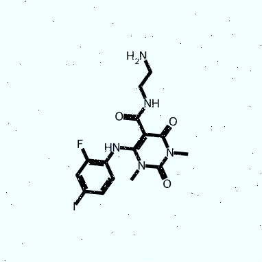 Cn1c(Nc2ccc(I)cc2F)c(C(=O)NCCN)c(=O)n(C)c1=O